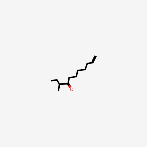 C=CCCCCCC(=O)C(C)CC